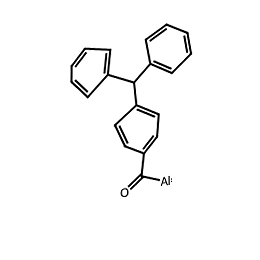 O=[C]([Al])c1ccc(C(c2ccccc2)c2ccccc2)cc1